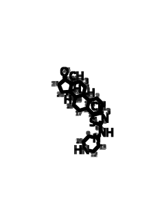 C[C@]12CCc3nc(NN4CCNCC4)sc3C1CC[C@@H]1[C@@H]2CC[C@]2(C)C(=O)CC[C@@H]12